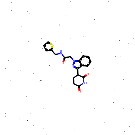 O=C(Cn1nc(C2CCC(=O)NC2=O)c2ccccc21)NCc1cccs1